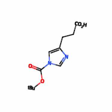 CC(C)(C)OC(=O)n1cnc(CCC(=O)O)c1